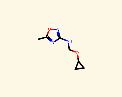 Cc1nc(NCOC2CC2)no1